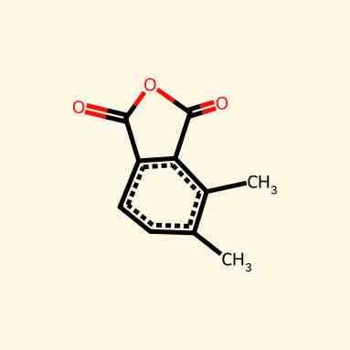 Cc1ccc2c(c1C)C(=O)OC2=O